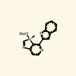 CO[N+]1(C)C=Nc2ccnc(-c3cc4ccccc4s3)c21